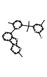 Cc1cc(Cl)nc(C(C)(C)c2ccc(C)c(-c3cccc4c3oc3nc(C)ccc34)n2)c1